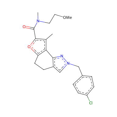 COCCN(C)C(=O)c1oc2c(c1C)-c1nn(Cc3ccc(Cl)cc3)cc1CC2